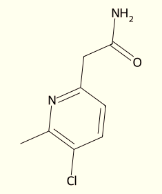 Cc1nc(CC(N)=O)ccc1Cl